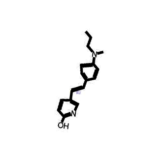 CCCN(C)c1ccc(/C=C/c2ccc(O)nc2)cc1